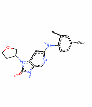 COc1ccc(Nc2cc3c(cn2)[nH]c(=O)n3C2CCOC2)c(C)c1